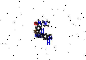 CCN(CC)CCN(C)C(=O)C1CCc2c(sc3ncnc(Nc4ccc5[nH]ncc5c4)c23)C1